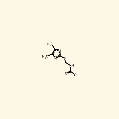 Cc1nc(SCNC([O])=O)oc1C